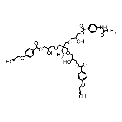 C#CCOc1ccc(C(=O)OCC(O)COCC(CC)(COCC(O)COC(=O)c2ccc(NC(C)=O)cc2)COCC(O)COC(=O)c2ccc(OCC#C)cc2)cc1